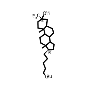 CC(C)(C)CCCCC[C@@H]1CCC2C3CCC4C[C@](O)(C(F)(F)F)CCC4(C)C3CCC21C